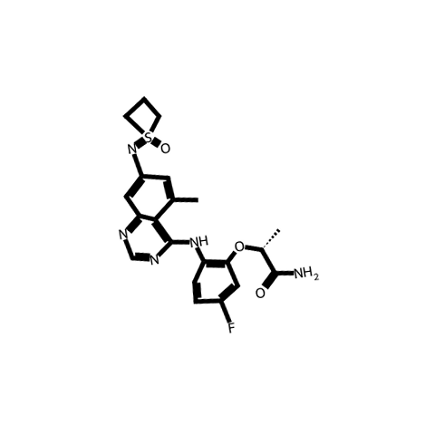 Cc1cc(N=S2(=O)CCC2)cc2ncnc(Nc3ccc(F)cc3O[C@H](C)C(N)=O)c12